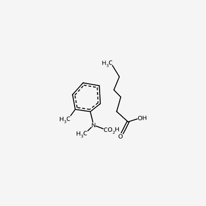 CCCCCC(=O)O.Cc1ccccc1N(C)C(=O)O